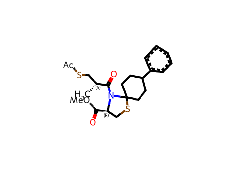 COC(=O)[C@@H]1CSC2(CCC(c3ccccc3)CC2)N1C(=O)[C@H](C)CSC(C)=O